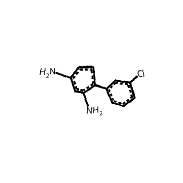 Nc1ccc(-c2cccc(Cl)c2)c(N)c1